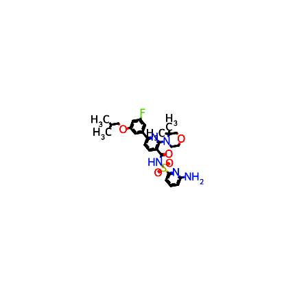 CC(C)COc1cc(F)cc(-c2ccc(C(=O)NS(=O)(=O)c3cccc(N)n3)c(N3CCOCC3(C)C)n2)c1